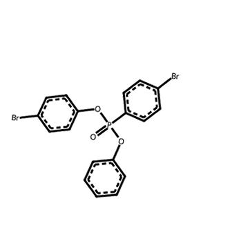 O=P(Oc1ccccc1)(Oc1ccc(Br)cc1)c1ccc(Br)cc1